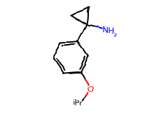 CC(C)Oc1cccc(C2(N)CC2)c1